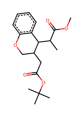 COC(=O)C(C)C1c2ccccc2OCC1CC(=O)OC(C)(C)C